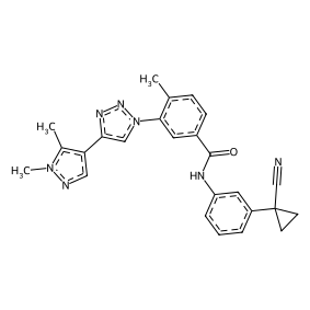 Cc1ccc(C(=O)Nc2cccc(C3(C#N)CC3)c2)cc1-n1cc(-c2cnn(C)c2C)nn1